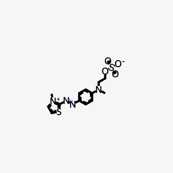 CN(CCOS(=O)(=O)[O-])c1ccc(/N=N/c2scc[n+]2C)cc1